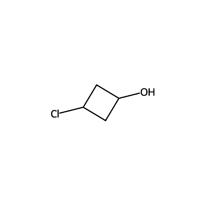 OC1CC(Cl)C1